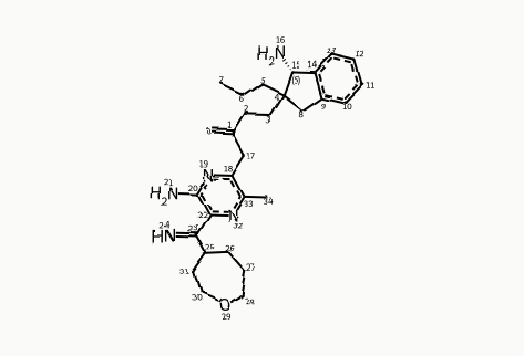 C=C(CCC1(CCC)Cc2ccccc2[C@H]1N)Cc1nc(N)c(C(=N)C2CCCOCC2)nc1C